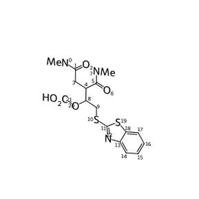 CNC(=O)CC(C(=O)NC)C(CSc1nc2ccccc2s1)OC(=O)O